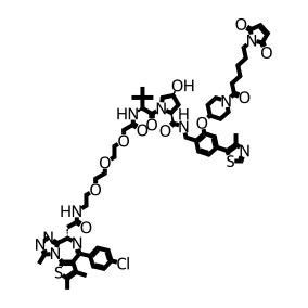 Cc1ncsc1-c1ccc(CNC(=O)[C@@H]2C[C@@H](O)CN2C(=O)[C@@H](NC(=O)COCCOCCOCCNC(=O)C[C@@H]2N=C(c3ccc(Cl)cc3)c3c(sc(C)c3C)-n3c(C)nnc32)C(C)(C)C)c(OC2CCN(C(=O)CCCCCN3C(=O)C=CC3=O)CC2)c1